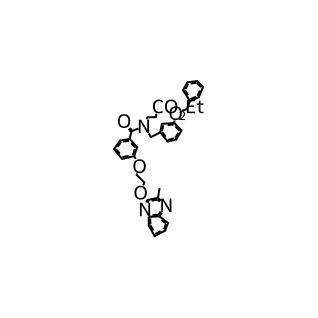 CCOC(=O)CCN(Cc1cccc(OCc2ccccc2)c1)C(=O)c1cccc(OCCOc2nc3ccccc3nc2C)c1